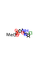 COC(=O)CS(=O)(=O)c1ccc(C(C)NC(=O)c2cc3c(Cl)cc(C)c(C)c3n2C)cc1